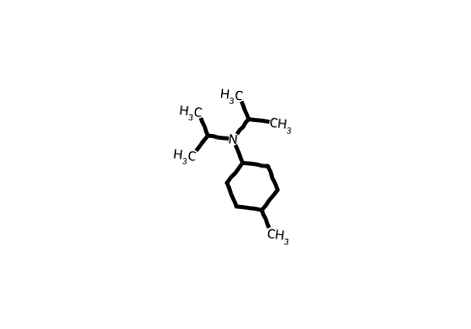 CC1CCC(N(C(C)C)C(C)C)CC1